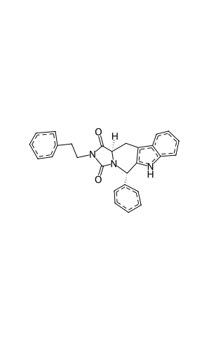 O=C1[C@H]2Cc3c([nH]c4ccccc34)[C@H](c3ccccc3)N2C(=O)N1CCc1ccccc1